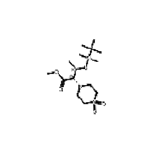 COC(=O)[C@H]([C@@H](C)O[Si](C)(C)C(C)(C)C)N1CCS(=O)(=O)CC1